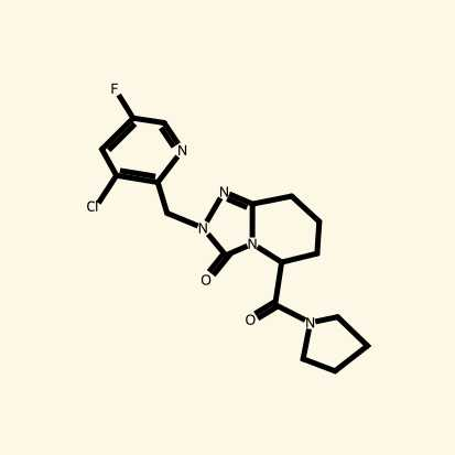 O=C(C1CCCc2nn(Cc3ncc(F)cc3Cl)c(=O)n21)N1CCCC1